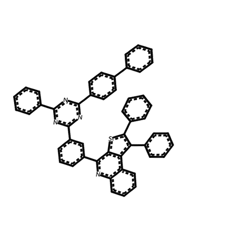 c1ccc(-c2ccc(-c3nc(-c4ccccc4)nc(-c4cccc(-c5nc6ccccc6c6c(-c7ccccc7)c(-c7ccccc7)sc56)c4)n3)cc2)cc1